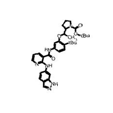 CC(Oc1cc(NC(=O)c2cccnc2Nc2ccc3cn[nH]c3c2)ccc1C(C)(C)C)C1CCCN1C(=O)OC(C)(C)C